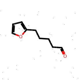 O=CCCCCc1ccco1